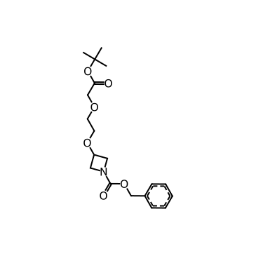 CC(C)(C)OC(=O)COCCOC1CN(C(=O)OCc2ccccc2)C1